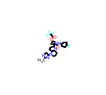 Cc1nccc(N2CCCc3nc(C4(C(=O)Nc5ccc(F)cc5)CC(OC(=O)C(F)(F)F)C4)ccc32)n1